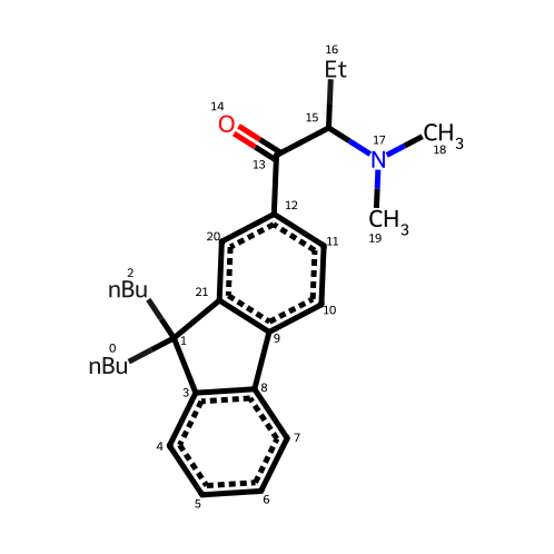 CCCCC1(CCCC)c2ccccc2-c2ccc(C(=O)C(CC)N(C)C)cc21